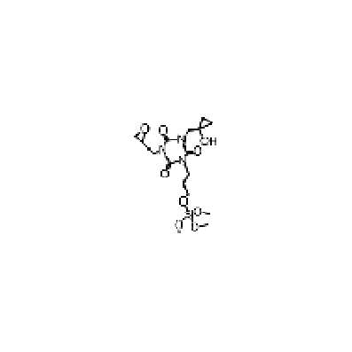 CO[Si](OC)(OC)OCCCn1c(=O)n(CC2CO2)c(=O)n(CC2(O)CC2)c1=O